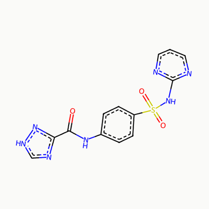 O=C(Nc1ccc(S(=O)(=O)Nc2ncccn2)cc1)c1nc[nH]n1